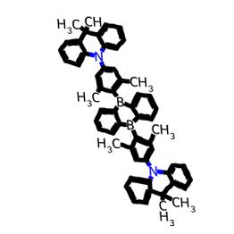 Cc1cc(N2c3ccccc3C(C)(C)c3ccccc32)cc(C)c1B1c2ccccc2B(c2c(C)cc(N3c4ccccc4C(C)(C)c4ccccc43)cc2C)c2ccccc21